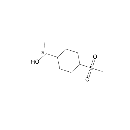 C[C@@H](O)C1CCC(S(C)(=O)=O)CC1